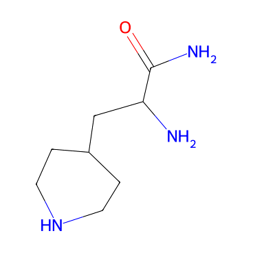 NC(=O)C(N)CC1CCNCC1